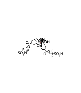 CCCN(C1C2CC(C(=O)OCC(F)(F)S(=O)(=O)O)CC1C(O)(CC)C(C)C2)C1(O)C(C)CC2CC(C(=O)OCC(F)(F)S(=O)(=O)O)CC1C2